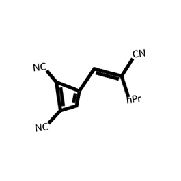 CCC/C(C#N)=C\C1=CC(C#N)=C1C#N